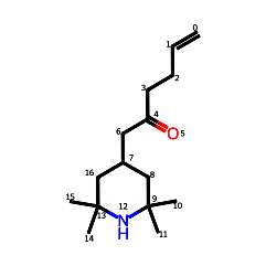 C=CCCC(=O)CC1CC(C)(C)NC(C)(C)C1